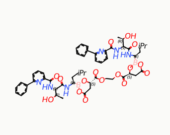 CC(C)C[C@H](NC(=O)[C@@H](NC(=O)c1cccc(-c2ccccc2)n1)[C@@H](C)O)B1OC(=O)C[C@@H](C(=O)OCCOC(=O)[C@@H]2CC(=O)OB([C@H](CC(C)C)NC(=O)[C@@H](NC(=O)c3cccc(-c4ccccc4)n3)[C@@H](C)O)O2)O1